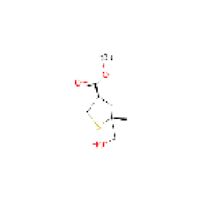 CC(C)(C)OC(=O)[C@@H]1CS[C@@](C)(CO)C1